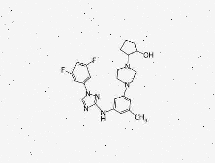 Cc1cc(Nc2ncn(-c3cc(F)cc(F)c3)n2)cc(N2CCN(C3CCCC3O)CC2)c1